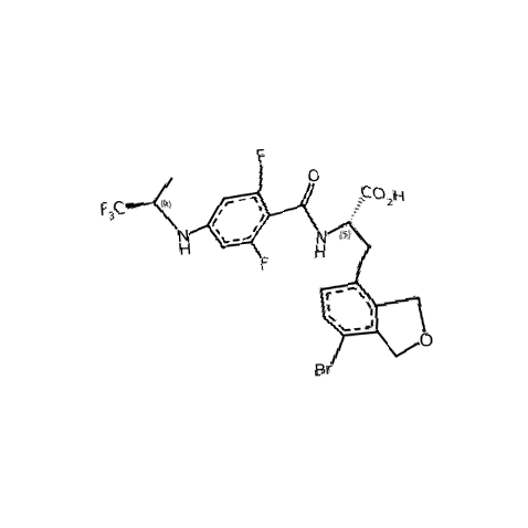 C[C@@H](Nc1cc(F)c(C(=O)N[C@@H](Cc2ccc(Br)c3c2COC3)C(=O)O)c(F)c1)C(F)(F)F